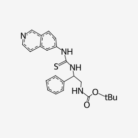 CC(C)(C)OC(=O)NCC(NC(=S)Nc1ccc2cnccc2c1)c1ccccc1